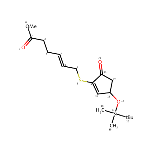 COC(=O)CCC=CCSC1=CC(O[Si](C)(C)C(C)(C)C)CC1=O